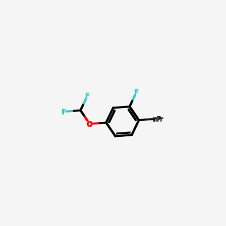 C[CH]Cc1ccc(OC(F)F)cc1F